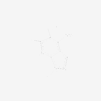 CCOC(=O)c1c(C)nc2c(cnn2CC)c1NC